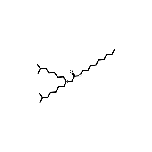 CCCCCCCCCOC(=O)CN(CCCCCC(C)C)CCCCCC(C)C